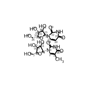 Cc1cn([C@@H]2O[C@H](CO)[C@@H](O)[C@H]2O)c(=O)[nH]c1=O.O=c1ccn([C@@H]2O[C@H](CO)[C@@H](O)[C@H]2O)c(=O)[nH]1